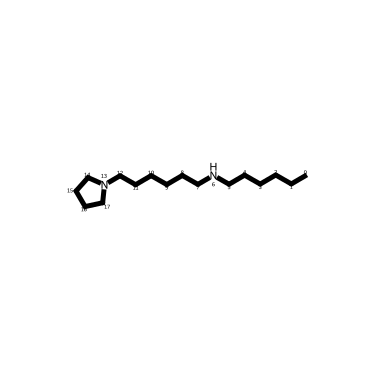 CCCCCCNCCCCCCN1CCCC1